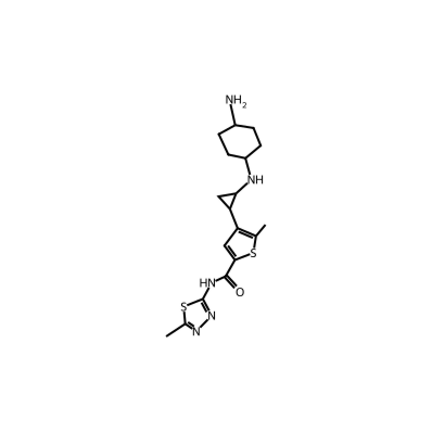 Cc1nnc(NC(=O)c2cc(C3CC3NC3CCC(N)CC3)c(C)s2)s1